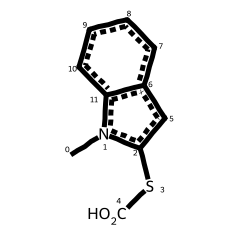 Cn1c(SC(=O)O)cc2ccccc21